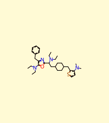 CCN(CC)c1oc(C(CC2CCC(Cc3sccc3N(C)C)CC2)N(CC)CC)nc1Cc1ccccc1